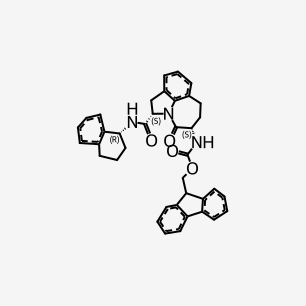 O=C(N[C@H]1CCc2cccc3c2N(C1=O)[C@H](C(=O)N[C@@H]1CCCc2ccccc21)C3)OCC1c2ccccc2-c2ccccc21